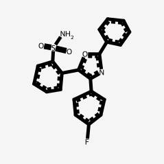 NS(=O)(=O)c1ccccc1-c1oc(-c2ccccc2)nc1-c1ccc(F)cc1